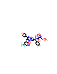 O=C(N[C@H](c1cn2nc(C[C@H]3C[C@@H](C(F)(F)F)CNC3=O)c(C3CCOCC3)nc2n1)C1CCC(F)(F)CC1)c1nonc1CO